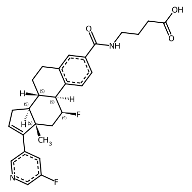 C[C@]12C[C@H](F)[C@@H]3c4ccc(C(=O)NCCCC(=O)O)cc4CC[C@H]3[C@@H]1CC=C2c1cncc(F)c1